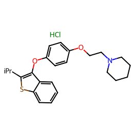 CC(C)c1sc2ccccc2c1Oc1ccc(OCCN2CCCCC2)cc1.Cl